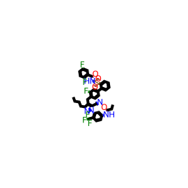 CCCCc1nn(-c2cc(NC(=O)CC)ccc2C(F)(F)F)c(C#N)c1Cc1ccc(-c2ccccc2S(=O)(=O)NC(=O)c2cc(F)ccc2F)cc1F